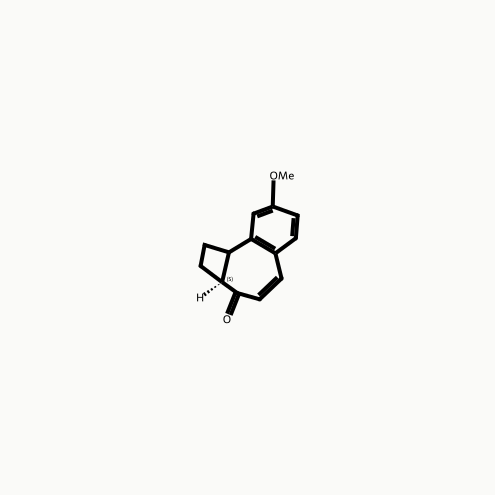 COc1ccc2c(c1)C1CC[C@@H]1C(=O)C=C2